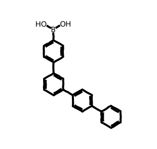 OB(O)c1ccc(-c2cccc(-c3ccc(-c4ccccc4)cc3)c2)cc1